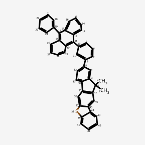 CC1(C)c2cc(-c3cccc(-c4c5ccccc5c(-c5ccccc5)c5ccccc45)c3)ccc2-c2cc3sc4ccccc4c3cc21